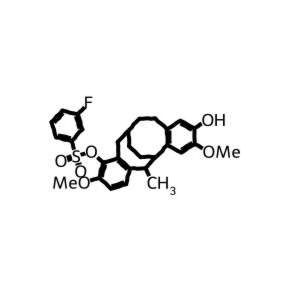 COc1cc2c(cc1O)CCC1CCC2C(C)c2ccc(OC)c(OS(=O)(=O)c3cccc(F)c3)c2C1